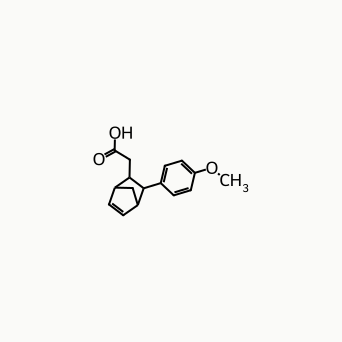 COc1ccc(C2C3C=CC(C3)C2CC(=O)O)cc1